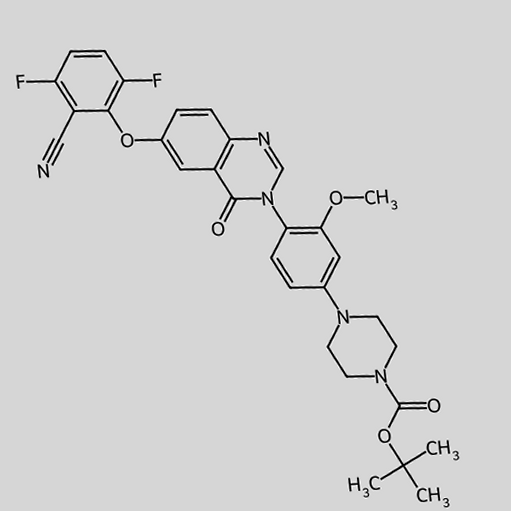 COc1cc(N2CCN(C(=O)OC(C)(C)C)CC2)ccc1-n1cnc2ccc(Oc3c(F)ccc(F)c3C#N)cc2c1=O